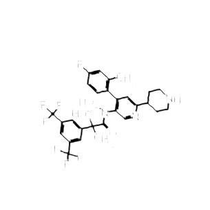 Cc1cc(F)ccc1-c1cc(C2CCNCC2)ncc1N(C)C(=O)C(C)(C)c1cc(C(F)(F)F)cc(C(F)(F)F)c1